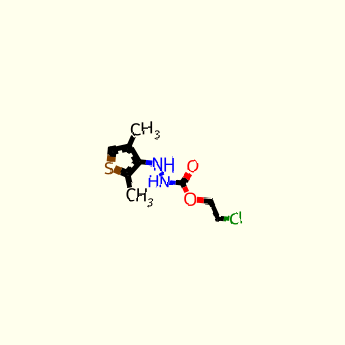 Cc1csc(C)c1NNC(=O)OCCCl